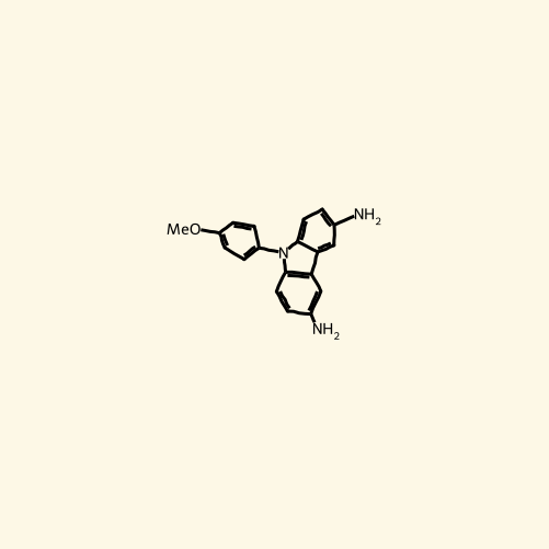 COc1ccc(-n2c3ccc(N)cc3c3cc(N)ccc32)cc1